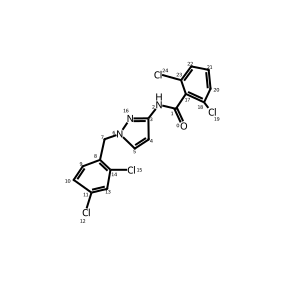 O=C(Nc1ccn(Cc2ccc(Cl)cc2Cl)n1)c1c(Cl)cccc1Cl